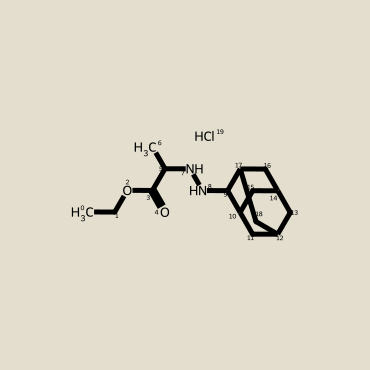 CCOC(=O)C(C)NNC1C2CC3CC(C2)CC1C3.Cl